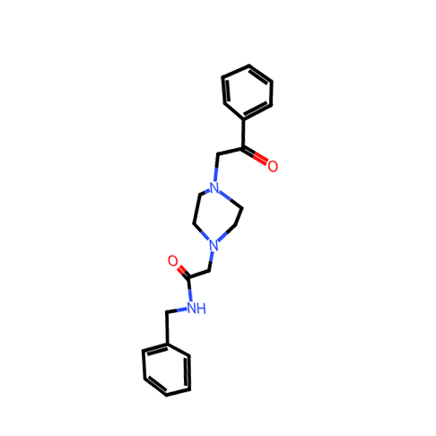 O=C(CN1CCN(CC(=O)c2ccccc2)CC1)NCc1ccccc1